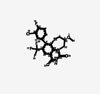 CO[C@H]1CSc2c(-c3ccc(F)c(Cl)c3)c(C(F)(F)F)cc3c(=O)[nH]c(=O)n(c23)C1